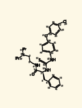 CC(C)N(CCNC(=O)[C@H](Cc1ccccc1)NC(=S)Nc1ccc(Oc2ccc(Cl)cc2)cc1)C(C)C